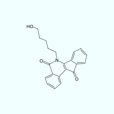 O=C1c2ccccc2-c2c1c1ccccc1c(=O)n2CCCCCO